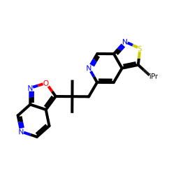 CC(C)c1snc2cnc(CC(C)(C)c3onc4cnccc34)cc12